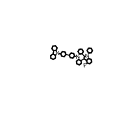 Fc1cccc2c1c1c(n2-c2ccccc2)-c2ccccc2N(c2ccc(-c3ccc(-n4c5ccccc5c5ccccc54)cc3)cc2)c2ccccc2-1